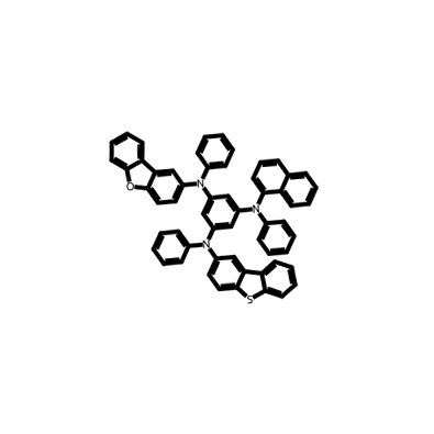 c1ccc(N(c2cc(N(c3ccccc3)c3ccc4sc5ccccc5c4c3)cc(N(c3ccccc3)c3cccc4ccccc34)c2)c2ccc3oc4ccccc4c3c2)cc1